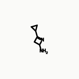 NC1CC(C2CC2)=N1